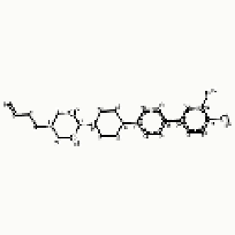 C=CCC[C@H]1CO[C@H](C2CCC(c3ccc(-c4ccc(Cl)c(F)c4)cc3)CC2)OC1